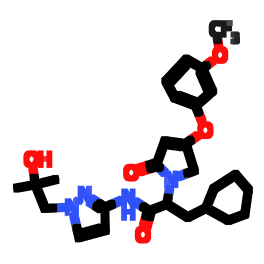 CC(C)(O)Cn1ccc(NC(=O)C(CC2CCCCC2)N2CC(Oc3cccc(OC(F)(F)F)c3)=CC2=O)n1